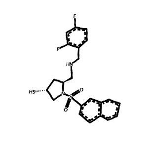 O=S(=O)(c1ccc2ccccc2c1)N1C[C@H](S)C[C@H]1CNCc1ccc(F)cc1F